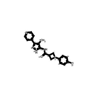 Cc1c(-c2ccncc2)n[nH]c1NC(=O)C1CN(c2ccc(Cl)cc2)C1